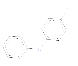 Nc1ccc([N]c2ccccc2)cc1